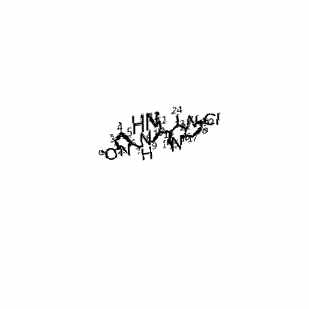 COc1cccc(CN/C=C(\C=N)C2=CN=C3C=CC(Cl)=NC3C2C)n1